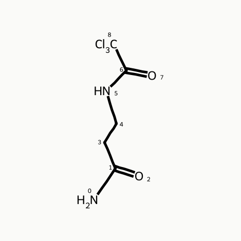 NC(=O)CCNC(=O)C(Cl)(Cl)Cl